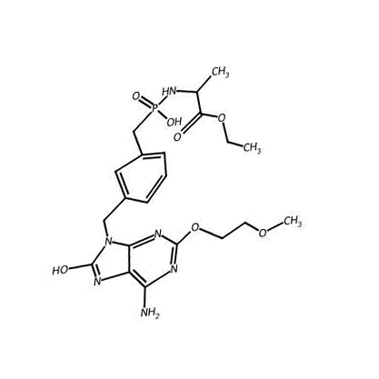 CCOC(=O)C(C)NP(=O)(O)Cc1cccc(Cn2c(O)nc3c(N)nc(OCCOC)nc32)c1